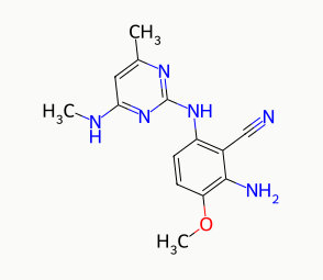 CNc1cc(C)nc(Nc2ccc(OC)c(N)c2C#N)n1